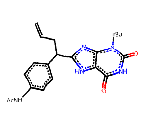 C=CCC(c1ccc(NC(C)=O)cc1)c1nc2c([nH]1)c(=O)[nH]c(=O)n2CCCC